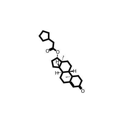 C[C@]12CC[C@H]3[C@@H](CCC4=CC(=O)CC[C@@]43C)[C@@H]1CC[C@@H]2OC(=O)CC1CCCC1